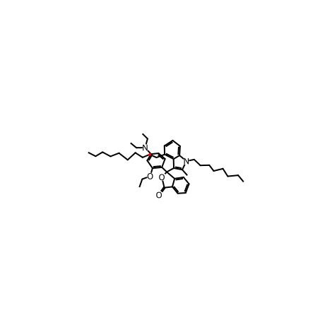 CCCCCCCCCCc1cccc2c1c(C1(c3ccc(N(CC)CC)cc3OCC)OC(=O)c3ccccc31)c(C)n2CCCCCCCC